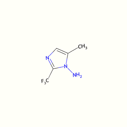 Cc1cnc(C(F)(F)F)n1N